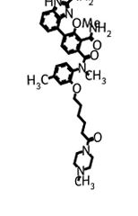 COc1c(-c2cccc3[nH]c(N)nc23)ccc(C(=O)N(C)c2ccc(C)cc2OCCCCCC(=O)N2CCN(C)CC2)c1C(N)=O